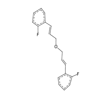 Fc1ccccc1C=CCOCC=Cc1ccccc1F